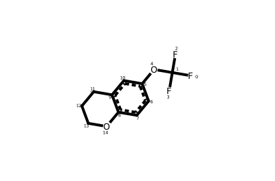 FC(F)(F)Oc1ccc2c(c1)[CH]CCO2